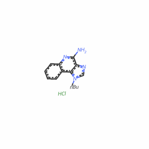 CCCCn1cnc2c(N)nc3ccccc3c21.Cl